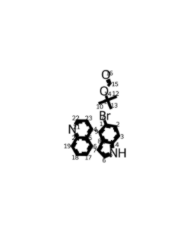 Brc1ccc2[nH]ccc2c1.CC(C)(C)OC=O.c1ccc2ncccc2c1